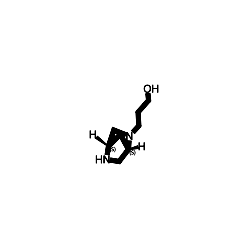 OCCCN1C[C@@H]2C[C@H]1CN2